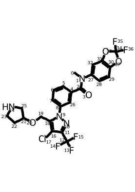 CN(C(=O)c1cccc(-n2nc(C(F)(F)F)c(Cl)c2COC2CCNC2)c1)c1ccc2c(c1)OC(F)(F)O2